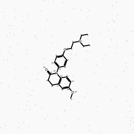 CCN(CC)CCOc1ccc(N2C(=O)CCc3cc(OC)ccc32)cc1